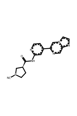 N#CN1CC[C@H](C(=O)Nc2cc(-c3cn4ccnc4cn3)ccn2)C1